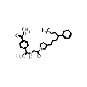 C=C(NCC(=O)N1CCC(CCCC(CCC)C2=CC=CCC2)C1)c1ccc(C(=O)OC)cc1